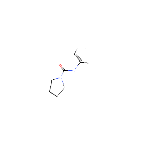 CCOC(=O)C=C(NC(=O)N1CCCC1)C(F)(F)F